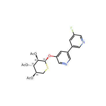 CC(=O)O[C@@H]1[C@@H](OC(C)=O)[C@@H](Oc2cncc(-c3cncc(F)c3)c2)SC[C@H]1OC(C)=O